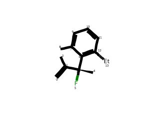 C=C(C)[C@@](C)(F)c1c(C)cccc1CC